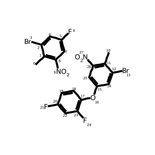 Cc1c(Br)cc(F)cc1[N+](=O)[O-].Cc1c(Br)cc(Oc2ccc(F)cc2F)cc1[N+](=O)[O-]